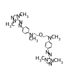 CN(CCOCCN(C)c1ccc(/N=N/c2n(C)nc[n+]2C)cc1)c1ccc(/N=N/c2n(C)nc[n+]2C)cc1